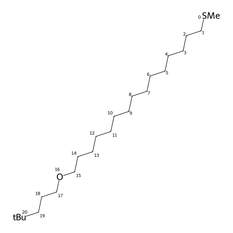 CSCCCCCCCCCCCCCCCOCCCC(C)(C)C